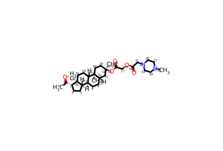 CC(=O)[C@H]1CC[C@H]2[C@@H]3CC[C@H]4C[C@](C)(OC(=O)COC(=O)CN5CCN(C)CC5)CC[C@]4(C)[C@H]3CC[C@]12C